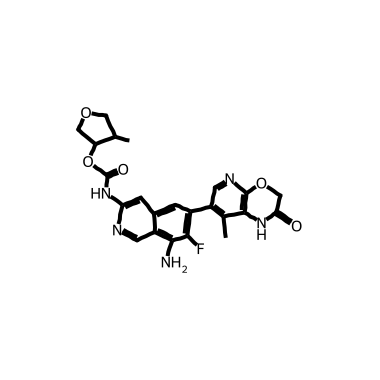 Cc1c(-c2cc3cc(NC(=O)OC4COCC4C)ncc3c(N)c2F)cnc2c1NC(=O)CO2